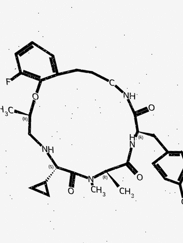 C[C@@H]1CN[C@@H](C2CC2)C(=O)N(C)[C@H](C)C(=O)N[C@H](Cc2ccc(Cl)cc2)C(=O)NCCCc2cccc(F)c2O1